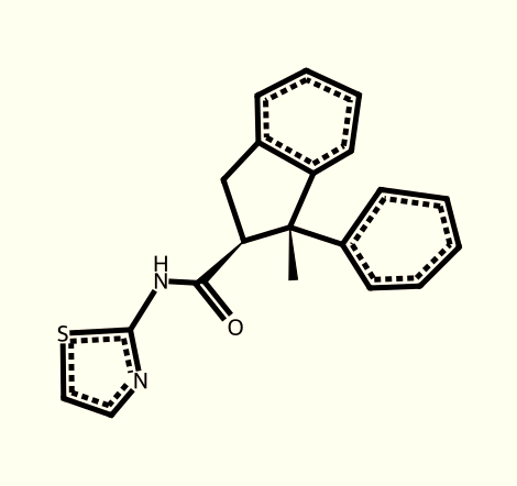 C[C@]1(c2ccccc2)c2ccccc2C[C@@H]1C(=O)Nc1nccs1